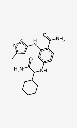 Cc1cc(Nc2cc(NC(C(N)=O)C3CCCCC3)ccc2C(N)=O)sn1